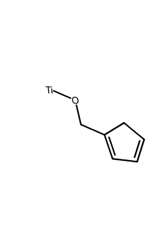 [Ti][O]CC1=CC=CC1